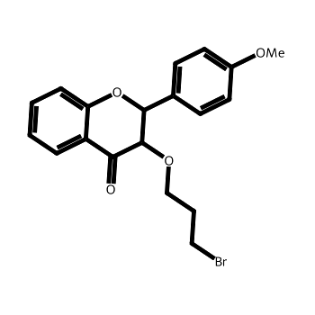 COc1ccc(C2Oc3ccccc3C(=O)C2OCCCBr)cc1